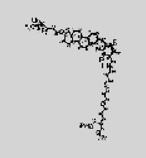 CC(C)OCC(CCCOCCSSCCCNCc1c(F)c(F)c(Oc2ccc3c(c2)CCC2C3CCC3(C)C(OCCCOC(C(F)(F)F)(C(F)(F)F)C(F)(F)F)CCC23)c(F)c1F)COC(C)C